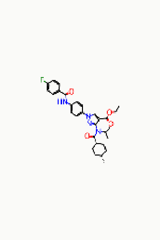 CCOC(=O)c1cn(-c2ccc(NC(=O)c3ccc(F)cc3)cc2)nc1N(C(=O)[C@H]1CC[C@H](C)CC1)C(C)C